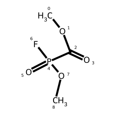 COC(=O)P(=O)(F)OC